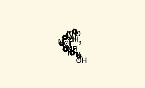 COc1cc(-c2nccc(-c3cccc(Nc4nccc(CN5CC[C@@H](O)C5)c4F)c3Cl)c2Cl)ccc1CNC[C@@H]1CCC(=O)N1